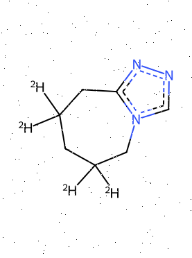 [2H]C1([2H])Cc2nncn2CC([2H])([2H])C1